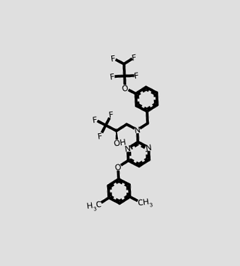 Cc1cc(C)cc(Oc2ccnc(N(Cc3cccc(OC(F)(F)C(F)F)c3)C[C@@H](O)C(F)(F)F)n2)c1